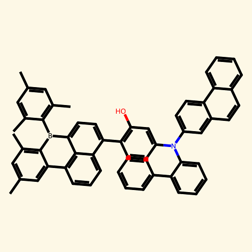 Cc1cc(C)c(B2c3c(C)cc(C)cc3-c3cccc4c(-c5ccc(N(c6ccc7c(ccc8ccccc87)c6)c6ccccc6-c6ccccc6)cc5O)ccc2c34)c(C)c1